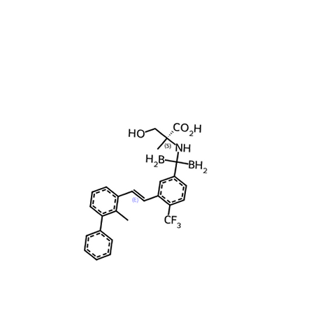 BC(B)(N[C@@](C)(CO)C(=O)O)c1ccc(C(F)(F)F)c(/C=C/c2cccc(-c3ccccc3)c2C)c1